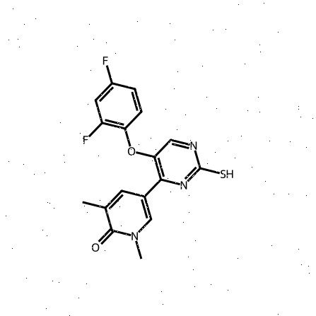 Cc1cc(-c2nc(S)ncc2Oc2ccc(F)cc2F)cn(C)c1=O